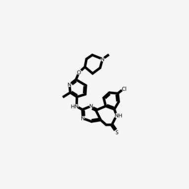 Cc1nc(OC2CCN(C)CC2)ccc1Nc1ncc2c(n1)-c1ccc(Cl)cc1NC(=S)C2